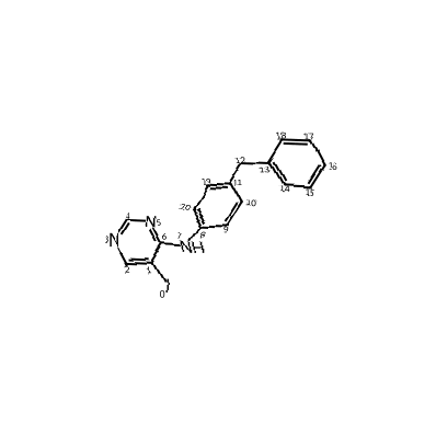 Ic1cncnc1Nc1ccc(Cc2ccccc2)cc1